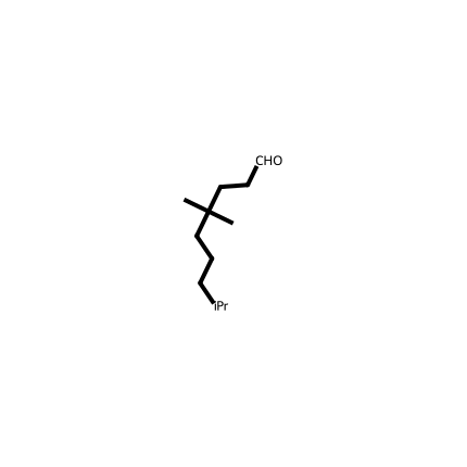 CC(C)CCCC(C)(C)CCC=O